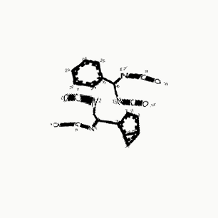 O=C=NC(N=C=O)c1ccc2cc1-2.O=C=NC(N=C=O)c1ccccc1